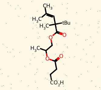 CC(C)=CC(C)(C(=O)OCC(C)OC(=O)CCC(=O)O)C(C)(C)C